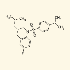 CC(C)CC1Cc2cc(F)ccc2N(S(=O)(=O)c2ccc(C(C)C)cc2)C1